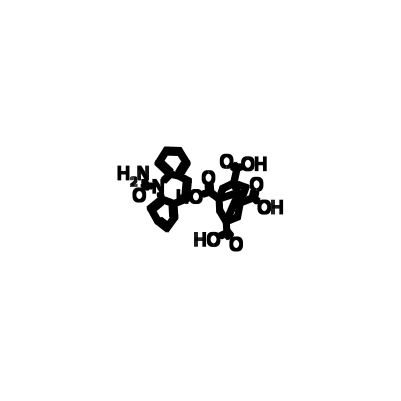 NC(=O)N1c2ccccc2C=Cc2ccccc21.O=C(O)C12CC3(C(=O)O)CC(C(=O)O)(C1)CC(C(=O)O)(C2)C3